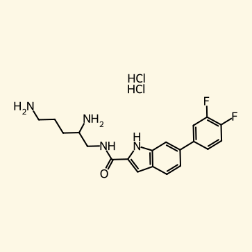 Cl.Cl.NCCCC(N)CNC(=O)c1cc2ccc(-c3ccc(F)c(F)c3)cc2[nH]1